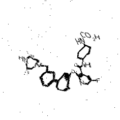 C[C@@H]1CN(Cc2cccc(-c3cccc(Oc4ncc(F)cc4C(=O)NC4CCC(NC(=O)O)CC4)c3)c2)C[C@H](C)N1